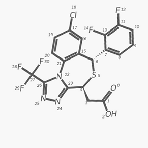 O=C(O)C[C@@H]1S[C@@H](c2cccc(F)c2F)c2cc(Cl)ccc2-n2c1nnc2C(F)(F)F